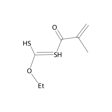 C=C(C)C(=O)[SH]=C(S)OCC